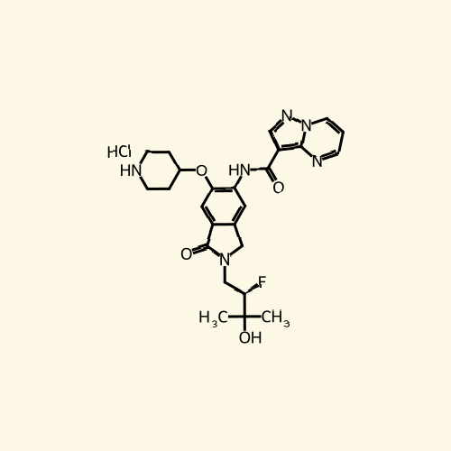 CC(C)(O)[C@H](F)CN1Cc2cc(NC(=O)c3cnn4cccnc34)c(OC3CCNCC3)cc2C1=O.Cl